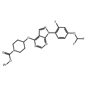 CC(C)OC(=O)N1CCC(Oc2ncnc3c2cnn3-c2ccc(OC(F)F)cc2F)CC1